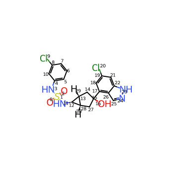 O=S(=O)(Nc1cccc(Cl)c1)N[C@H]1[C@@H]2C[C@](O)(c3cc(Cl)cc4[nH]ncc34)C[C@@H]21